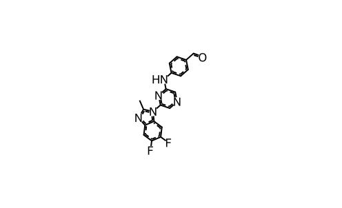 Cc1nc2cc(F)c(F)cc2n1-c1cncc(Nc2ccc(C=O)cc2)n1